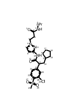 CCCNC(=O)CCn1ccc(NC(=O)C(CC2CCCC2)c2ccc(S(C)(=O)=O)c(Cl)c2)n1